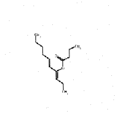 CC/C=C(/CCCCCC)OC(=O)CCC